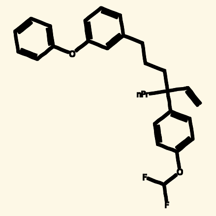 C=CC(CCC)(CCCc1cccc(Oc2ccccc2)c1)c1ccc(OC(F)F)cc1